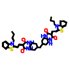 CCCCN1/C(=C\C=C2C(=O)NC3(CCC(CC4CCC5(CC4)NC(=O)C(=C/C=C4/Sc6ccccc6N4CCCC)C(=O)N5)CC3)NC2=O)Sc2ccccc21